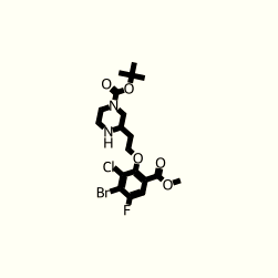 COC(=O)c1cc(F)c(Br)c(Cl)c1OCCC1CN(C(=O)OC(C)(C)C)CCN1